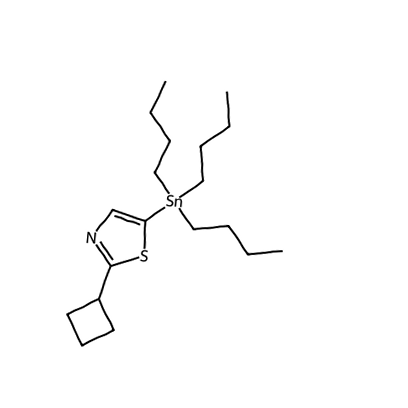 CCC[CH2][Sn]([CH2]CCC)([CH2]CCC)[c]1cnc(C2CCC2)s1